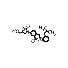 C=C(C)Cc1ccccc1-c1cc2ccc(N3CC(CO)OC3=O)cc2c(=O)[nH]1